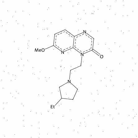 CCC1CCN(CCn2c(=O)cnc3ccc(OC)nc32)C1